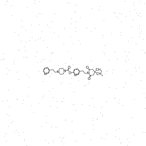 CC1(C)CC(=O)N(CCc2ccc(OC(=O)N3CCN(CCc4cccnc4)CC3)nc2)C(=O)C1